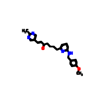 COc1ccc(CNc2cccc(CCCCC(=O)/C=C/c3cnc(C)nc3)n2)cc1